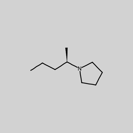 CCC[C@@H](C)N1CCCC1